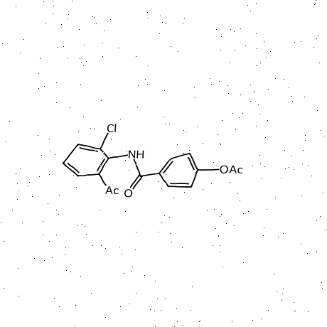 CC(=O)Oc1ccc(C(=O)Nc2c(Cl)cccc2C(C)=O)cc1